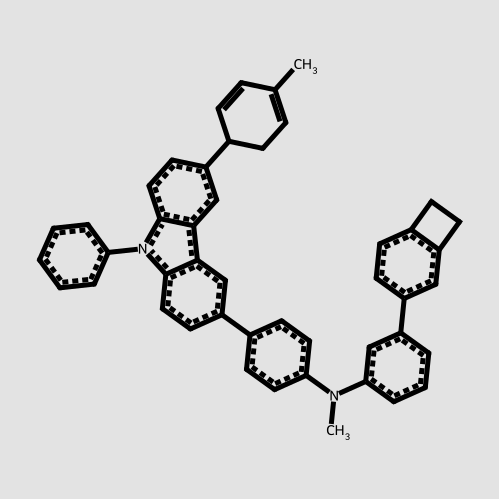 CC1=CCC(c2ccc3c(c2)c2cc(-c4ccc(N(C)c5cccc(-c6ccc7c(c6)CC7)c5)cc4)ccc2n3-c2ccccc2)C=C1